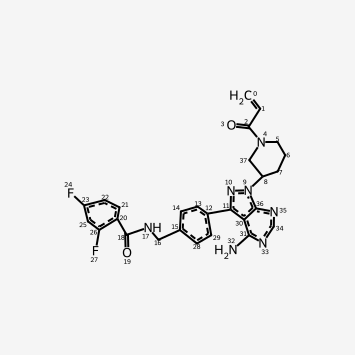 C=CC(=O)N1CCCC(n2nc(-c3ccc(CNC(=O)c4ccc(F)cc4F)cc3)c3c(N)ncnc32)C1